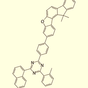 Cc1ccccc1-c1nc(-c2ccc(-c3ccc4c(c3)oc3ccc5c(c34)C(C)(C)c3ccccc3-5)cc2)nc(-c2cccc3ccccc23)n1